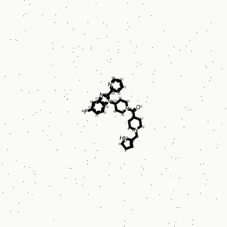 O=C(C1CCN(CC2=CCCN2)CC1)N1CCC(n2c(-c3ccccn3)nc3cc(F)ccc32)CC1